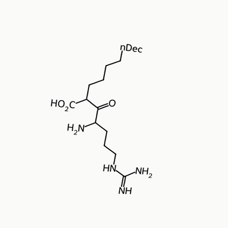 CCCCCCCCCCCCCCC(C(=O)O)C(=O)C(N)CCCNC(=N)N